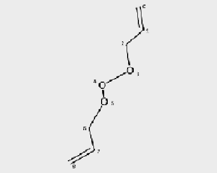 C=CCOOOCC=C